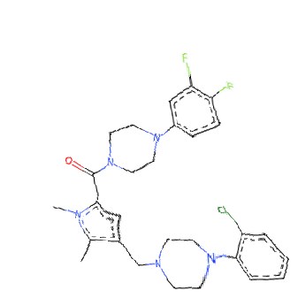 Cc1c(CN2CCN(c3ccccc3Cl)CC2)cc(C(=O)N2CCN(c3ccc(F)c(F)c3)CC2)n1C